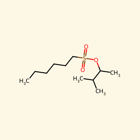 CCCCCCS(=O)(=O)OC(C)C(C)C